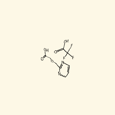 O=C(O)C(F)(F)F.O=C(O)COc1ncccn1